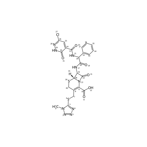 Cn1nnnc1SCC1=C(C(=O)O)N2C(=O)C(NC(=O)C(NC(=O)c3cc(Cl)n[nH]c3=O)c3ccccc3)[C@H]2SC1